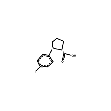 O=C(O)[C@H]1CCCN1c1ccc(I)cc1